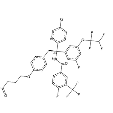 O=C(O)CCCOc1ccc(C[C@](NC(=O)c2ccc(F)c(C(F)(F)F)c2)(c2cc(F)cc(OC(F)(F)C(F)F)c2)c2ccc(Cl)cn2)cc1